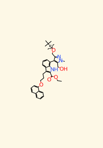 CCOC(=O)c1[nH]c2c(-c3c(CO[Si](C)(C)C(C)(C)C)nn(C)c3CO)cccc2c1CCCOc1cccc2ccccc12